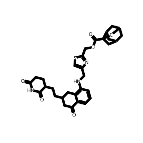 O=C1CCC(CCC2CC(=O)c3cccc(NCc4csc(COC(=O)C56CC7CC(CC5C7)C6)n4)c3C2)C(=O)N1